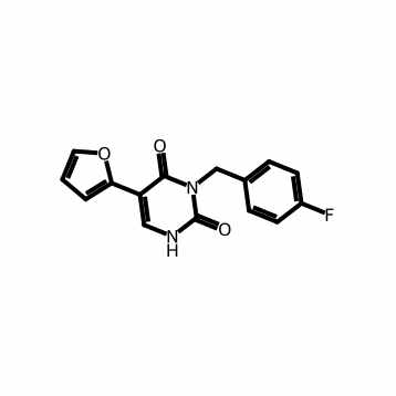 O=c1[nH]cc(-c2ccco2)c(=O)n1Cc1ccc(F)cc1